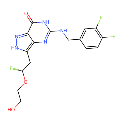 O=c1[nH]c(NCc2ccc(F)c(F)c2)nc2c(C[C@H](F)OCCO)[nH]nc12